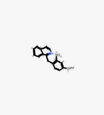 COc1ccc(Cc2nccc3ccccc23)c([N+](=O)[O-])c1